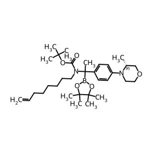 C=CCCCCCCN(C(=O)OC(C)(C)C)C(C)(B1OC(C)(C)C(C)(C)O1)c1ccc(N2CCOC[C@H]2C)cc1